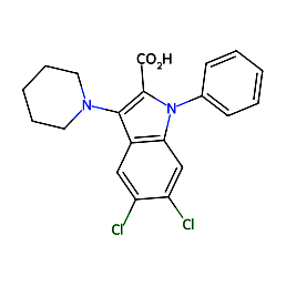 O=C(O)c1c(N2CCCCC2)c2cc(Cl)c(Cl)cc2n1-c1ccccc1